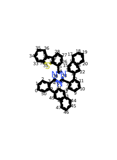 c1ccc(-c2nc(-c3ccccc3-c3ccc4ccccc4c3)nc(-c3cccc4c3sc3ccccc34)n2)c(-c2ccc3ccccc3c2)c1